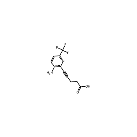 Nc1ccc(C(F)(F)F)nc1C#CCCC(=O)O